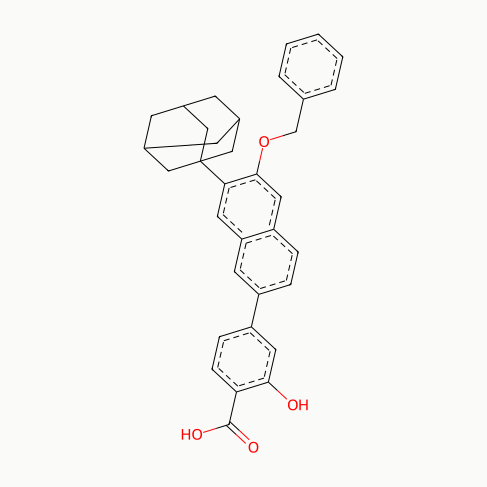 O=C(O)c1ccc(-c2ccc3cc(OCc4ccccc4)c(C45CC6CC(CC(C6)C4)C5)cc3c2)cc1O